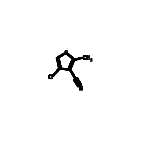 Cc1scc(Cl)c1C#N